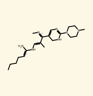 CCCC/C=C(\N)N/C=C(C)/C(=N\C)C1=CN=C(N2CCN(C)CC2)NC1